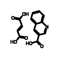 O=C(O)/C=C/C(=O)O.O=C(O)c1cnc2ccccc2c1